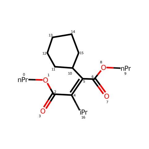 CCCOC(=O)C(=C(C(=O)OCCC)C1CCCCC1)C(C)C